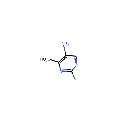 Nc1cnc(Cl)nc1C(=O)O